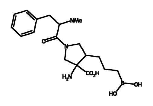 CNC(Cc1ccccc1)C(=O)N1CC(CCCB(O)O)C(N)(C(=O)O)C1